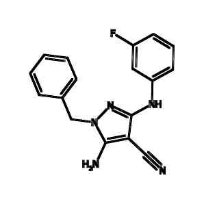 N#Cc1c(Nc2cccc(F)c2)nn(Cc2ccccc2)c1N